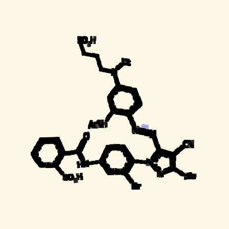 CCN(CCCS(=O)(=O)O)c1ccc(/N=N/c2c(C#N)c(C(C)(C)C)nn2-c2ccc(NC(=O)c3ccccc3S(=O)(=O)O)cc2Br)c(NC(C)=O)c1